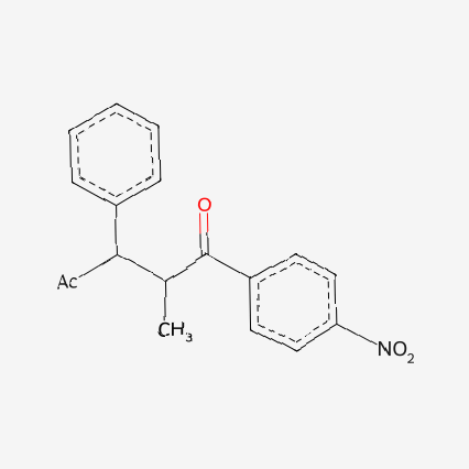 CC(=O)C(c1ccccc1)C(C)C(=O)c1ccc([N+](=O)[O-])cc1